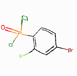 O=P(Cl)(Cl)c1ccc(Br)cc1F